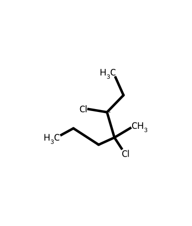 CCCC(C)(Cl)[C](Cl)CC